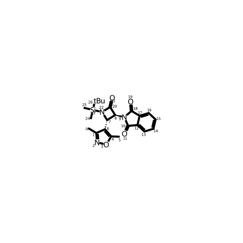 Cc1noc(C)c1[C@H]1[C@H](N2C(=O)c3ccccc3C2=O)C(=O)N1[Si](C)(C)C(C)(C)C